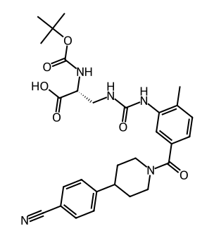 Cc1ccc(C(=O)N2CCC(c3ccc(C#N)cc3)CC2)cc1NC(=O)NC[C@@H](NC(=O)OC(C)(C)C)C(=O)O